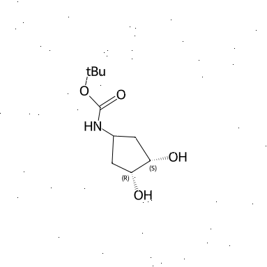 CC(C)(C)OC(=O)NC1C[C@@H](O)[C@@H](O)C1